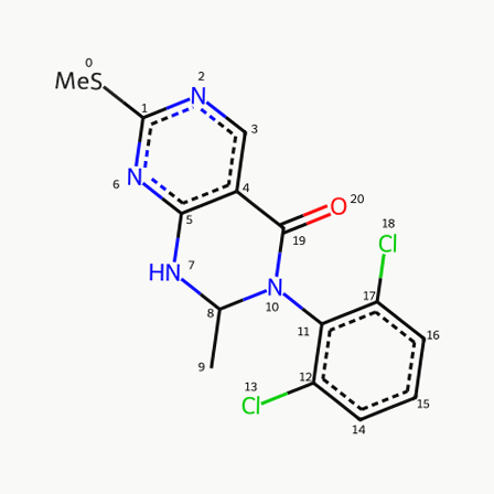 CSc1ncc2c(n1)NC(C)N(c1c(Cl)cccc1Cl)C2=O